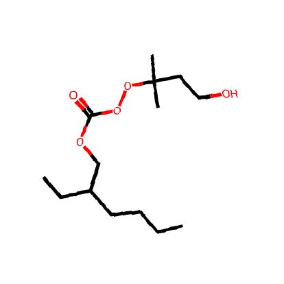 CCCCC(CC)COC(=O)OOC(C)(C)CCO